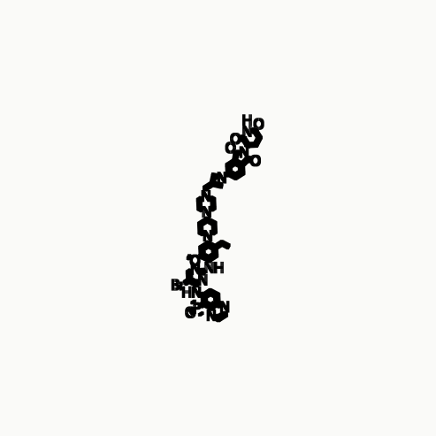 CCc1cc(Nc2ncc(Br)c(Nc3ccc4nccnc4c3P(C)(C)=O)n2)c(OC)cc1N1CCC(N2CCN(CC3CN(c4ccc5c(c4)C(=O)N(C4CCC(=O)NC4=O)C5=O)C3)CC2)CC1